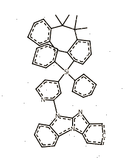 CC1(C)c2ccccc2Oc2c(cccc2[Si](c2ccccc2)(c2ccccc2)c2ccnc(-n3c4ccccc4n4c5ccccc5nc34)c2)C1(C)C